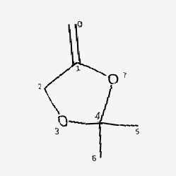 C=C1COC(C)(C)O1